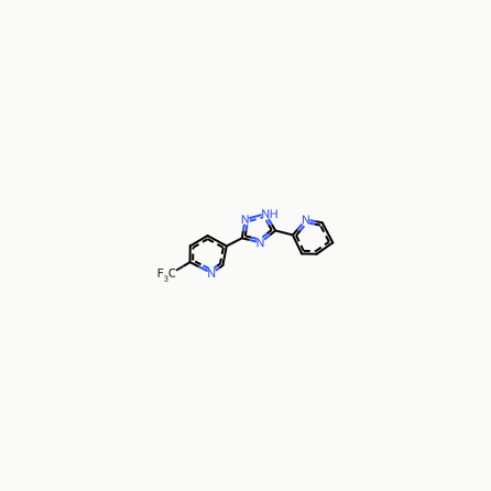 FC(F)(F)c1ccc(-c2n[nH]c(-c3ccccn3)n2)cn1